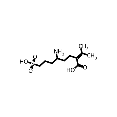 CC(C)=C(CCC(N)CCCS(=O)(=O)O)C(=O)O